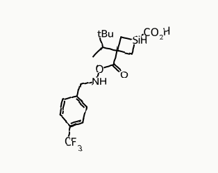 CC(C(C)(C)C)C1(C(=O)ONCc2ccc(C(F)(F)F)cc2)C[SiH](C(=O)O)C1